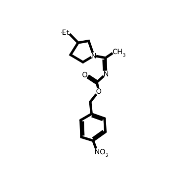 C[CH]C1CCN(C(C)=NC(=O)OCc2ccc([N+](=O)[O-])cc2)C1